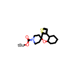 CC(C)(C)OC(=O)N1CCC2(CC1)OC1CCCCC1c1ccsc12